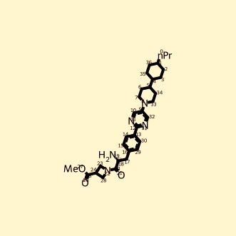 CCCC1CCC(C2CCN(c3cnc(-c4ccc(C[C@H](N)C(=O)N5CC(C(=O)OC)C5)cc4)nc3)CC2)CC1